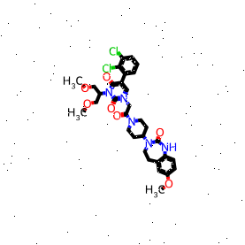 COCC(COC)n1c(=O)c(-c2cccc(Cl)c2Cl)cn(CC(=O)N2CCC(N3CCc4cc(OC)ccc4NC3=O)CC2)c1=O